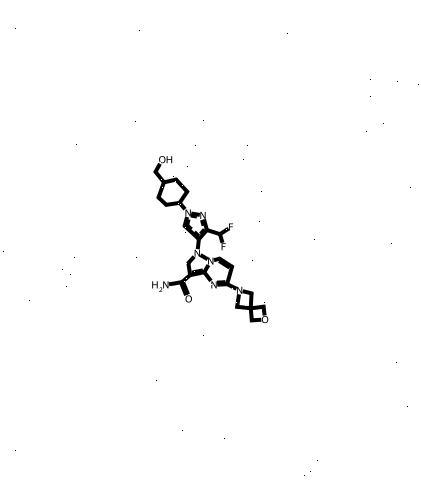 NC(=O)C1=C2N=C(N3CC4(COC4)C3)C=CN2N(c2cn(C3CCC(CO)CC3)nc2C(F)F)C1